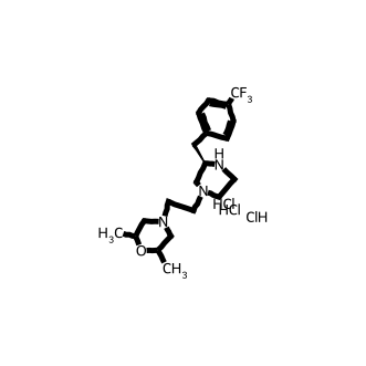 CC1CN(CCN2CCN[C@H](Cc3ccc(C(F)(F)F)cc3)C2)CC(C)O1.Cl.Cl.Cl